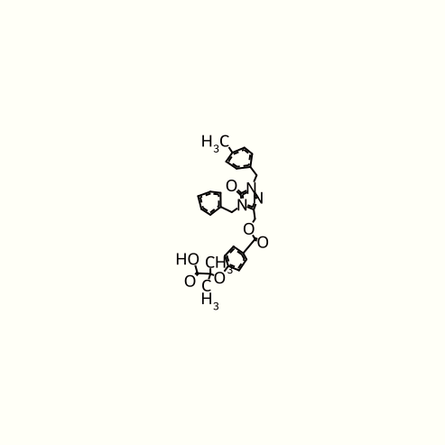 Cc1ccc(Cn2nc(COC(=O)c3ccc(OC(C)(C)C(=O)O)cc3)n(Cc3ccccc3)c2=O)cc1